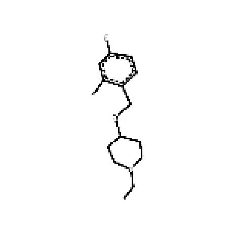 CCN1CCC(OCc2ccc(F)cc2F)CC1